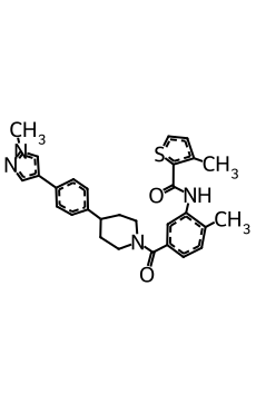 Cc1ccc(C(=O)N2CCC(c3ccc(-c4cnn(C)c4)cc3)CC2)cc1NC(=O)c1sccc1C